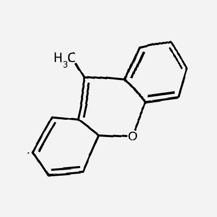 CC1=C2C=[C]C=CC2Oc2ccccc21